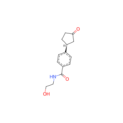 O=C1CC[C@H](c2ccc(C(=O)NCCO)cc2)C1